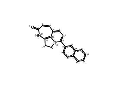 O=C1C=CC2=CN=C(c3ccc4ccccc4c3)N3CCC(=C23)N1